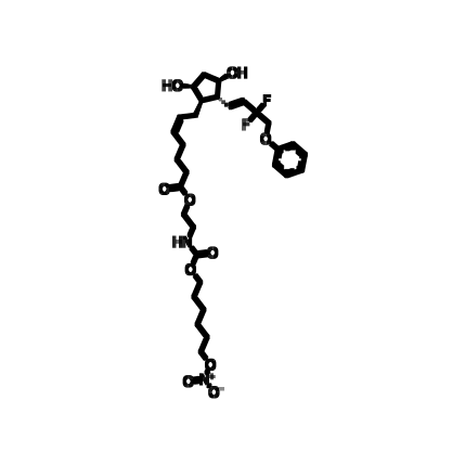 O=C(CCC/C=C\C[C@@H]1[C@@H](/C=C/C(F)(F)COc2ccccc2)[C@H](O)C[C@@H]1O)OCCNC(=O)OCCCCCCO[N+](=O)[O-]